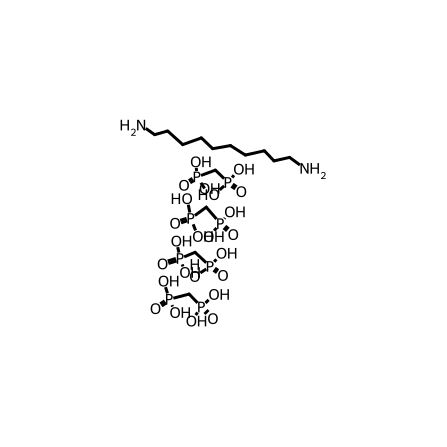 NCCCCCCCCCCN.O=P(O)(O)CP(=O)(O)O.O=P(O)(O)CP(=O)(O)O.O=P(O)(O)CP(=O)(O)O.O=P(O)(O)CP(=O)(O)O